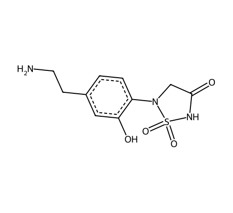 NCCc1ccc(N2CC(=O)NS2(=O)=O)c(O)c1